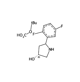 CC(C)(C)OC(=O)O.O[C@H]1CNC(c2cc(F)ccc2F)C1